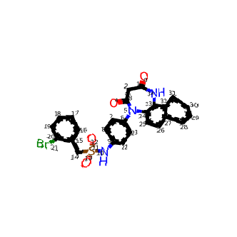 O=C1CC(=O)N(c2ccc(NS(=O)(=O)Cc3ccccc3Br)cc2)c2ccc3ccccc3c2N1